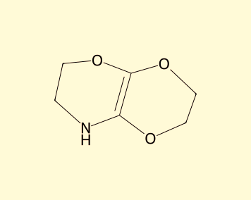 C1COC2=C(N1)OCCO2